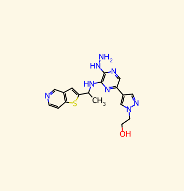 CC(Nc1nc(-c2cnn(CCO)c2)cnc1NN)c1cc2cnccc2s1